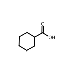 O=C(O)C1C[CH]CCC1